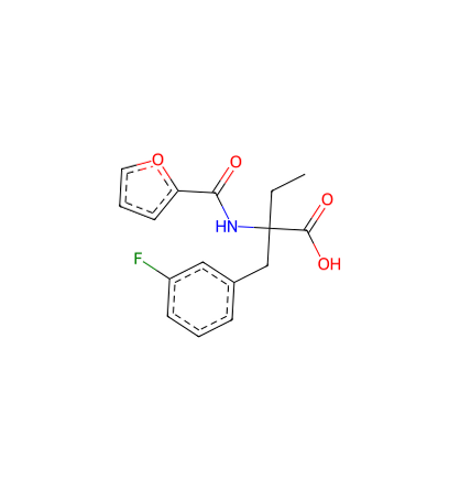 CCC(Cc1cccc(F)c1)(NC(=O)c1ccco1)C(=O)O